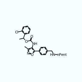 CCCCCNCc1ccc(-c2onc(C)c2NC(=O)OC(C)c2ccccc2Cl)cc1